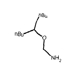 CCCCC(CCCC)OCN